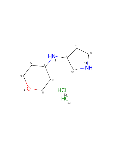 C1CC(NC2CCOCC2)CN1.Cl.Cl